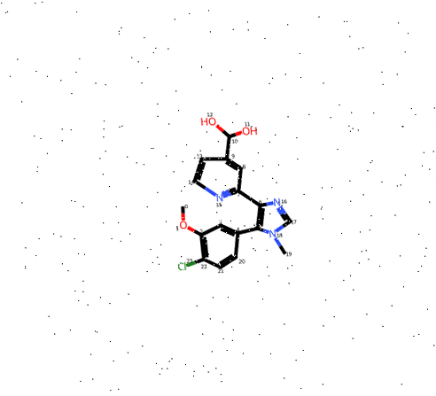 COc1cc(-c2c(-c3cc(C(O)O)ccn3)ncn2C)ccc1Cl